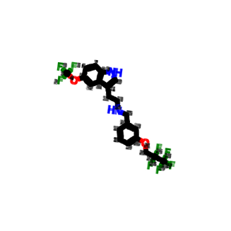 FC(F)(F)Oc1ccc2[nH]cc(CCNCc3cccc(OCC(F)(F)C(F)(F)F)c3)c2c1